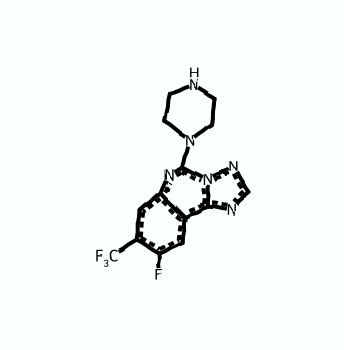 Fc1cc2c(cc1C(F)(F)F)nc(N1CCNCC1)n1ncnc21